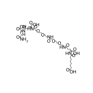 NC(=O)CC[C@H](NC(=O)CC[C@H](NC(=O)COCCOCCNC(=O)COCCOCCNC(=O)CC[C@H](NC(=O)CCCCCCC(=O)O)C(=O)O)C(=O)O)C(=O)O